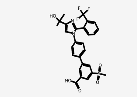 CC(C)(O)c1cn(-c2ccc(-c3cc(C(=O)O)cc(S(C)(=O)=O)c3)cc2)c(-c2ccccc2C(F)(F)F)n1